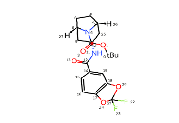 CC(C)(C)OC(=O)N1[C@@H]2CC[C@H]1C[C@@H](NC(=O)c1ccc3c(c1)OC(F)(F)O3)C2